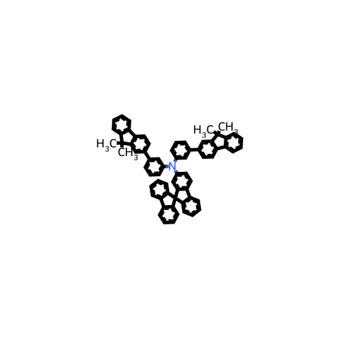 CC1(C)c2ccccc2-c2ccc(-c3cccc(N(c4cccc(-c5ccc6c(c5)C(C)(C)c5ccccc5-6)c4)c4ccc5c(c4)C4(c6ccccc6-c6ccccc64)c4ccccc4-5)c3)cc21